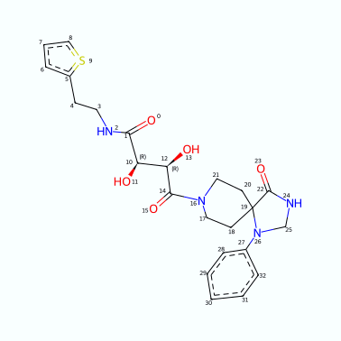 O=C(NCCc1cccs1)[C@H](O)[C@@H](O)C(=O)N1CCC2(CC1)C(=O)NCN2c1ccccc1